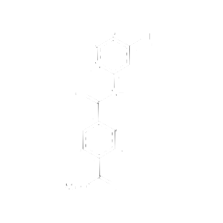 COC(=O)c1ccc(C(=O)Nc2cc(C(F)(F)F)ccn2)cc1